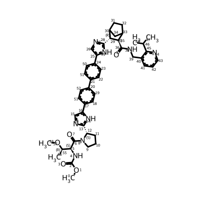 COC(=O)N[C@H](C(=O)N1CCC[C@H]1c1ncc(-c2ccc(-c3ccc(-c4cnc([C@@H]5C6CCC(C6)[C@H]5C(=O)NCc5cccnc5C(C)C)[nH]4)cc3)cc2)[nH]1)[C@@H](C)OC